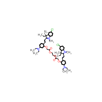 CCN(CC)c1ccc(/C=C/C2=[N+](C)c3ccc(Cl)cc3C2(C)CC)c(OCC(=O)OCCOC(=O)COc2cc(N(CC)CC)ccc2/C=C/C2=[N+](C)c3ccc(Cl)cc3C2(C)CC)c1